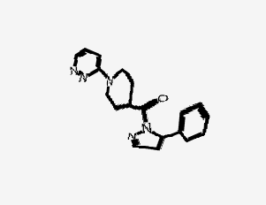 O=C(C1CCN(c2cccnn2)CC1)N1N=CCC1c1ccccc1